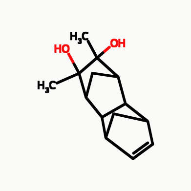 CC1(O)C2CC(C3C4C=CC(C4)C32)C1(C)O